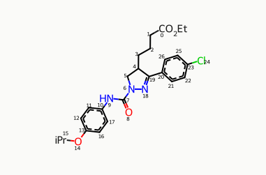 CCOC(=O)CCCC1CN(C(=O)Nc2ccc(OC(C)C)cc2)N=C1c1ccc(Cl)cc1